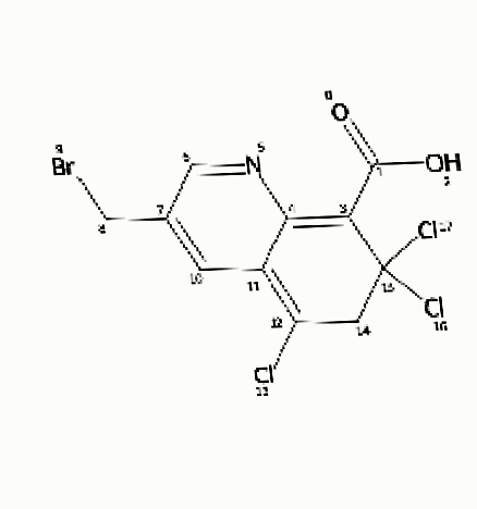 O=C(O)C1=c2ncc(CBr)cc2=C(Cl)CC1(Cl)Cl